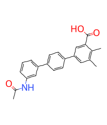 CC(=O)Nc1cccc(-c2ccc(-c3cc(C)c(C)c(C(=O)O)c3)cc2)c1